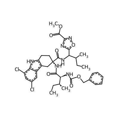 CCC(C)C(NC(=O)[C@@]1(NC(=O)[C@@H](NC(=O)OCc2ccccc2)[C@@H](C)CC)CCc2[nH]c3c(Cl)cc(Cl)cc3c2C1)c1nc(C(=O)OC)no1